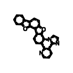 c1ccc2c(c1)oc1c2ccc2oc3c(ccc4c5ncccc5c5nccn5c43)c21